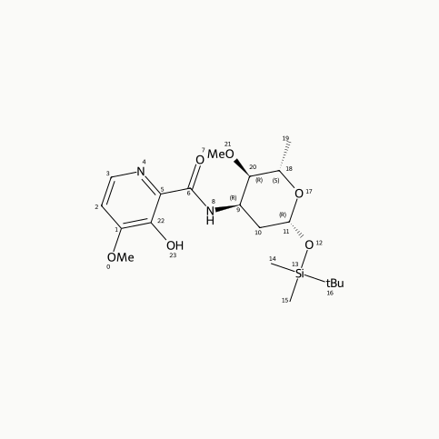 COc1ccnc(C(=O)N[C@@H]2C[C@@H](O[Si](C)(C)C(C)(C)C)O[C@@H](C)[C@@H]2OC)c1O